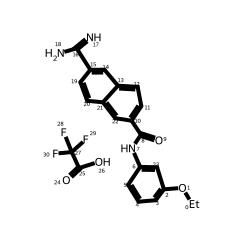 CCOc1cccc(NC(=O)c2ccc3cc(C(=N)N)ccc3c2)c1.O=C(O)C(F)(F)F